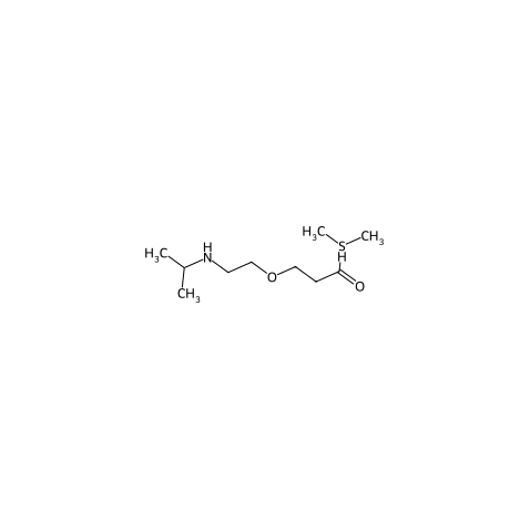 CC(C)NCCOCCC(=O)[SH](C)C